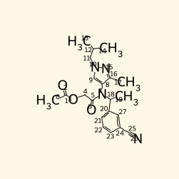 CC(=O)OCC(=O)N(c1cn(CC(C)C)nc1C)C(C)c1cccc(C#N)c1